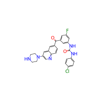 O=C(Nc1ccc(Cl)cc1)Nc1cc(F)cc(C(=O)c2ccc3ncc(N4CCNCC4)cc3c2)c1